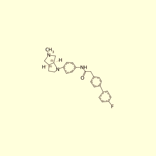 CN1C[C@@H]2CCN(c3ccc(NC(=O)Cc4ccc(-c5ccc(F)cc5)cc4)cc3)[C@@H]2C1